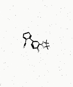 CC1(C)OB(c2cc(-c3ccccc3C#N)ccc2F)OC1(C)C